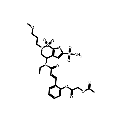 CCN(C(=O)/C=C/c1ccccc1OC(=O)COC(C)=O)[C@H]1CN(CCCOC)S(=O)(=O)c2sc(S(N)(=O)=O)cc21